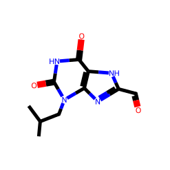 CC(C)Cn1c(=O)[nH]c(=O)c2[nH]c(C=O)nc21